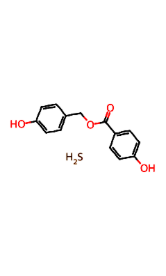 O=C(OCc1ccc(O)cc1)c1ccc(O)cc1.S